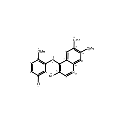 COc1ccc(Cl)cc1Nc1c(C#N)cnc2cc(OC)c(OC)cc12